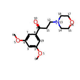 COc1cc(OC)cc(C(=O)CCN2CCOCC2)c1